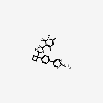 Cc1cc(C)c(-c2nc(C3(c4ccc(-c5cnc(N)nc5)cc4)CCC3)no2)c(=O)[nH]1